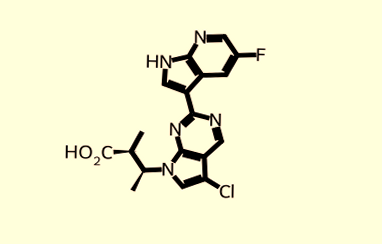 C[C@H](C(=O)O)[C@H](C)n1cc(Cl)c2cnc(-c3c[nH]c4ncc(F)cc34)nc21